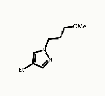 CCc1cnn(CCCOC)c1